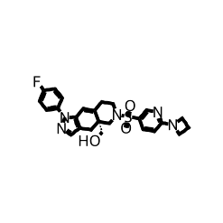 O=S(=O)(c1ccc(N2CCC2)nc1)N1CCC2=Cc3c(cnn3-c3ccc(F)cc3)C[C@]2(CO)C1